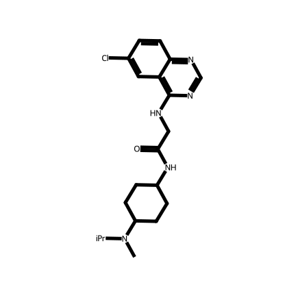 CC(C)N(C)C1CCC(NC(=O)CNc2ncnc3ccc(Cl)cc23)CC1